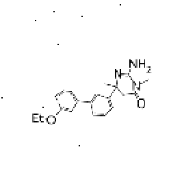 CCOc1cccc(-c2cccc(C3(C)CC(=O)N(C)C(N)=N3)c2)c1